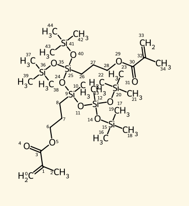 C=C(C)C(=O)OCCC[Si](C)(O[Si](C)(O[Si](C)(C)C)O[Si](C)(C)C)O[Si](CCCOC(=O)C(=C)C)(O[Si](C)(C)C)O[Si](C)(C)C